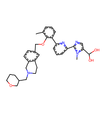 Cc1cccc(-c2cccc(-c3ncc(C(O)O)n3C)n2)c1OCc1ccc2c(c1)CCN(CC1CCCOC1)C2